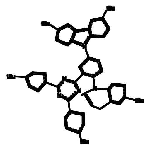 CC1=CCc2cc(C(C)(C)C)ccc2N1c1ccc(-n2c3ccc(C(C)(C)C)cc3c3cc(C(C)(C)C)ccc32)cc1-c1nc(-c2ccc(C(C)(C)C)cc2)nc(-c2ccc(C(C)(C)C)cc2)n1